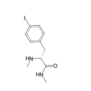 CNC(=O)[C@@H](Cc1ccc(I)cc1)NC